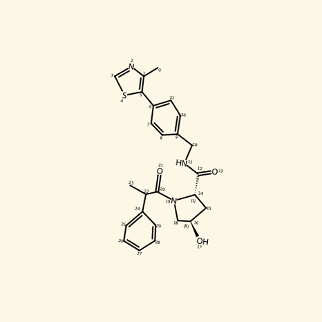 Cc1ncsc1-c1ccc(CNC(=O)[C@@H]2C[C@@H](O)CN2C(=O)C(C)c2ccccc2)cc1